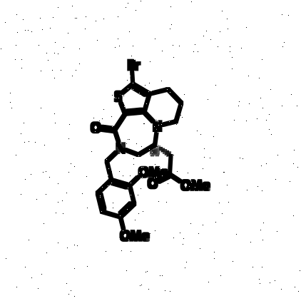 COC(=O)C[C@@H]1CN(Cc2ccc(OC)cc2OC)C(=O)c2sc(Br)c3c2N1CCC3